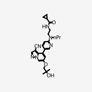 CCCN(CCNC(=O)C1CC1)c1ccc(-c2cc(OCC(C)(C)O)cn3ncc(C#N)c23)cn1